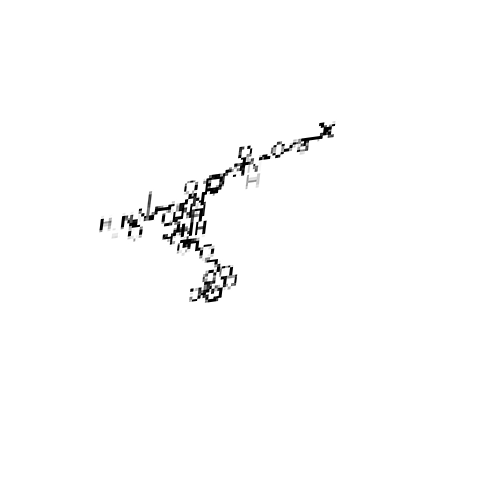 CC(C)[C@@H](NC(=O)CCOCCC(=O)ON1C(=O)CCC1=O)C(=O)N[C@H](CCCCNC(N)=O)C(=O)Nc1ccc(COC(=O)NCCOCCOCCC(C)(C)C)cc1